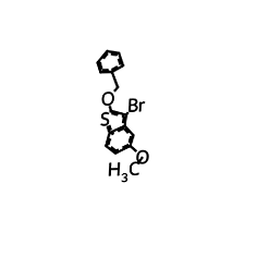 COc1ccc2sc(OCc3ccccc3)c(Br)c2c1